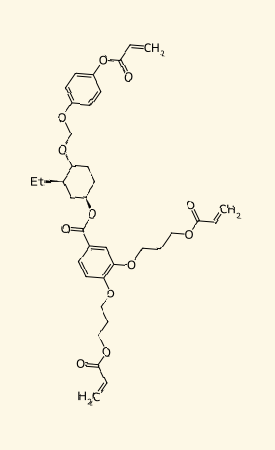 C=CC(=O)OCCCOc1ccc(C(=O)O[C@@H]2CCC(OCOc3ccc(OC(=O)C=C)cc3)[C@H](CC)C2)cc1OCCCOC(=O)C=C